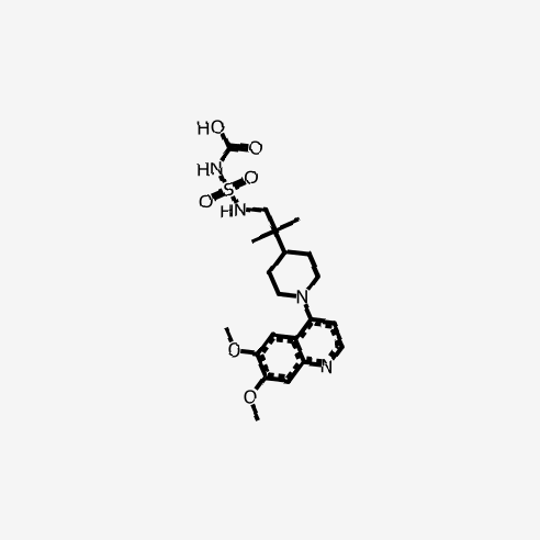 COc1cc2nccc(N3CCC(C(C)(C)CNS(=O)(=O)NC(=O)O)CC3)c2cc1OC